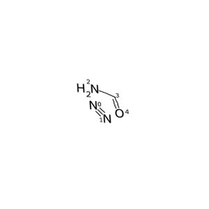 N#N.NC=O